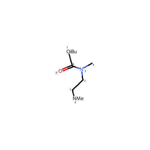 CNCCN(C)C(=O)OCC(C)C